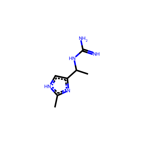 Cc1nc(C(C)NC(=N)N)c[nH]1